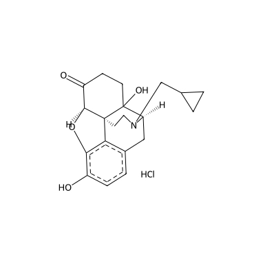 Cl.O=C1CCC2(O)[C@H]3Cc4ccc(O)c5c4[C@@]2(CCN3CC2CC2)[C@H]1O5